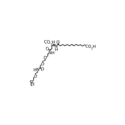 CCOCCOCCNC(=O)COCCOCCNC(=O)CC[C@H](NC(=O)CCCCCCCCCCCCC(=O)O)C(=O)O